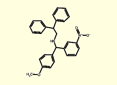 COc1ccc(C(NCC(c2ccccc2)c2ccccc2)c2cccc([N+](=O)[O-])c2)cc1